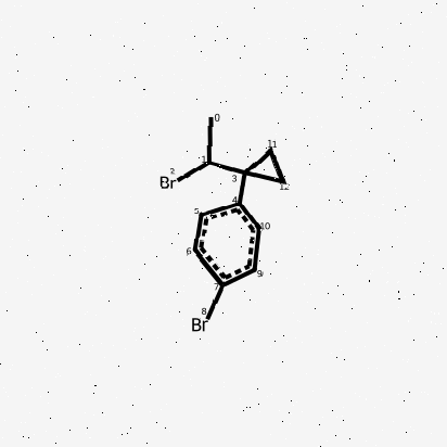 CC(Br)C1(c2ccc(Br)cc2)CC1